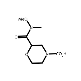 CON(C)C(=O)C1CN(C(=O)O)CCO1